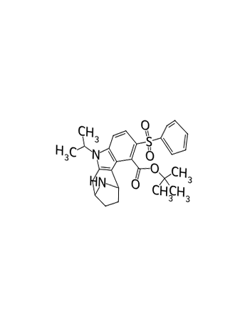 CC(C)n1c2c(c3c(C(=O)OC(C)(C)C)c(S(=O)(=O)c4ccccc4)ccc31)C1CCC(C2)N1